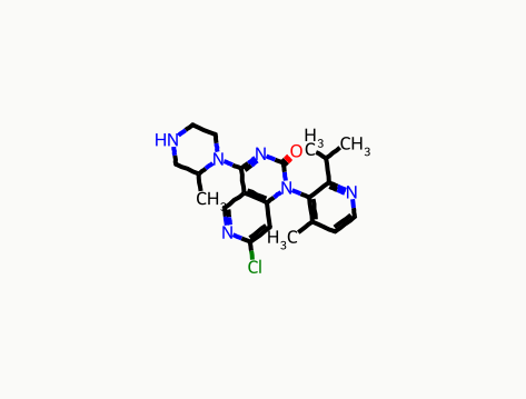 Cc1ccnc(C(C)C)c1-n1c(=O)nc(N2CCNCC2C)c2cnc(Cl)cc21